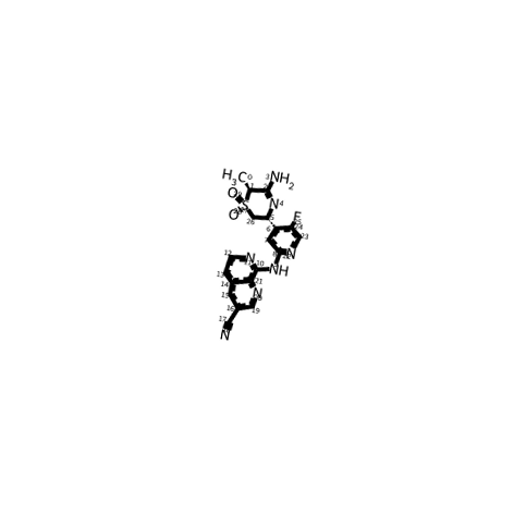 C[C@H]1C(N)=N[C@H](c2cc(Nc3nccc4cc(C#N)cnc34)ncc2F)CS1(=O)=O